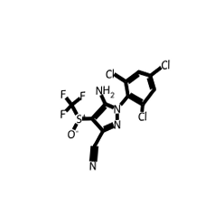 N#Cc1nn(-c2c(Cl)cc(Cl)cc2Cl)c(N)c1[S+]([O-])C(F)(F)F